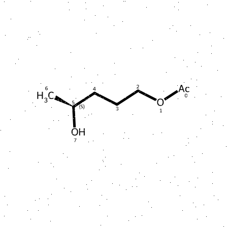 CC(=O)OCCC[C@H](C)O